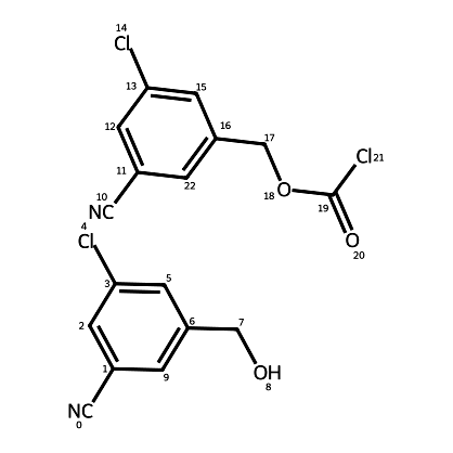 N#Cc1cc(Cl)cc(CO)c1.N#Cc1cc(Cl)cc(COC(=O)Cl)c1